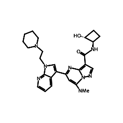 CNc1cc(-c2cn(CCN3CCCCC3)c3ncccc23)nc2c(C(=O)N[C@@H]3CC[C@H]3O)cnn12